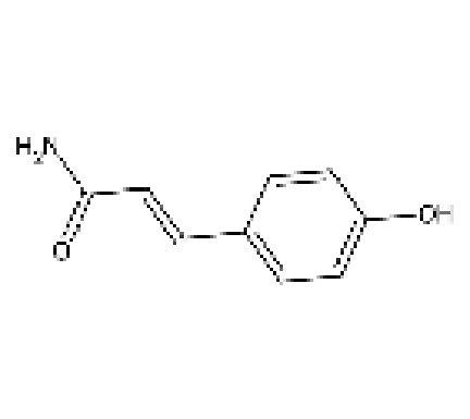 NC(=O)/C=C/c1ccc(O)cc1